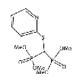 COP(=O)(OC)C(Sc1ccccn1)P(=O)(OC)OC